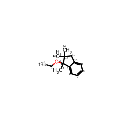 CC(C)(C)COC1(C)c2ccccc2CC1(C)C